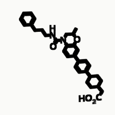 CC1CN(C(=O)NCCCc2ccccc2)c2ccc(-c3ccc(C4CCC(CC(=O)O)CC4)cc3)cc2O1